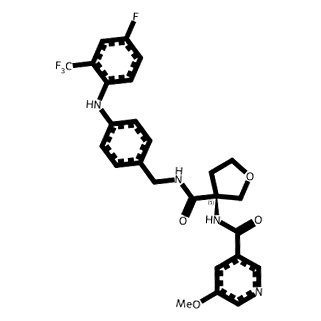 COc1cncc(C(=O)N[C@@]2(C(=O)NCc3ccc(Nc4ccc(F)cc4C(F)(F)F)cc3)CCOC2)c1